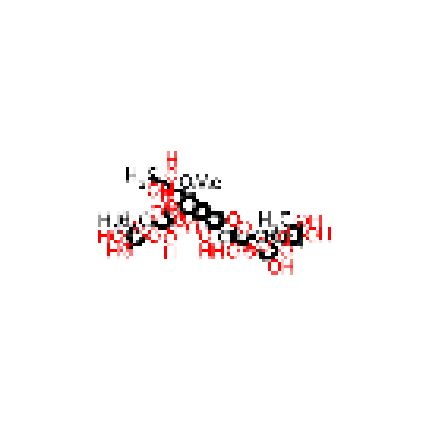 COC(C(=O)C(O)C(C)O)C1Cc2cc3cc(OC4CC(O)C(OC5CC(O)C(OC6CC(O)C(O)C(C)O6)C(C)O5)C(C)O4)c(C)c(O)c3c(O)c2C(=O)C1OC1CC(O)C(OC2CC(O)C(O)C(C)O2)C(C)O1